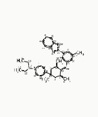 C=C1CC(C)(c2ccc(N(CC)CC)cc2)CC(=C)C1=Cc1cc(C)cc(-n2nc3ccccc3n2)c1